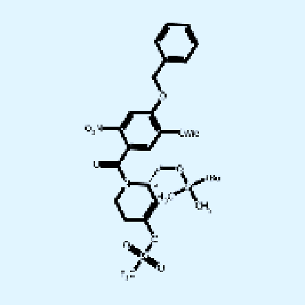 COc1cc(C(=O)N2CCC(OS(=O)(=O)C(F)(F)F)=C[C@H]2CO[Si](C)(C)C(C)(C)C)c([N+](=O)[O-])cc1OCc1ccccc1